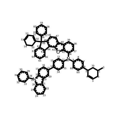 CC1CC=CC(c2ccc(N(c3ccc(-c4ccc5c(c4)c4ccccc4n5-c4ccccc4)cc3)c3cccc4c3oc3c5c(ccc34)C(C3=CC=CCC3)(c3ccccc3)c3ccccc3-5)cc2)C1